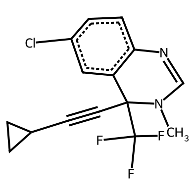 CN1C=Nc2ccc(Cl)cc2C1(C#CC1CC1)C(F)(F)F